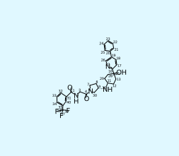 O=C(NCC(=O)N1CC[C@H](NC2CCC(O)(c3ccc(-c4ccccc4)cn3)CC2)C1)c1cccc(C(F)(F)F)c1